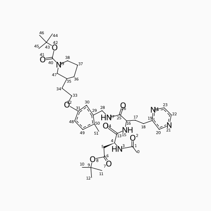 CC(=O)N[C@@H](CC(=O)OC(C)(C)C)C(=O)NC(CCc1cnccn1)C(=O)NCc1cc(OCCC2CCCN(C(=O)OC(C)(C)C)C2)ccc1C